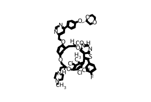 Cc1c(Cl)c2c(Cl)c(C)c1-c1c(-c3ccc(F)cc3)sc3ncnc(c13)O[C@@H](C(=O)O)Cc1cc(ccc1OCc1cc(-c3ccc(OC[C@H]4COCCO4)cc3)ncn1)OC[C@@H](CN1CCN(C)CC1)O2